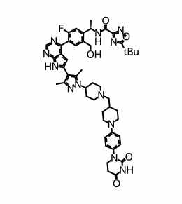 Cc1nn(C2CCN(CC3CCN(c4ccc(N5CCC(=O)NC5=O)cc4)CC3)CC2)c(C)c1-c1cc2c(-c3cc(CO)c([C@@H](C)NC(=O)c4noc(C(C)(C)C)n4)cc3F)ncnc2[nH]1